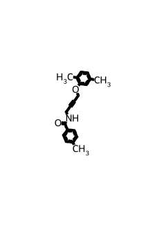 Cc1ccc(C(=O)NCC#CCOc2cc(C)ccc2C)cc1